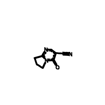 N#Cc1cnc2n(c1=O)CCC2